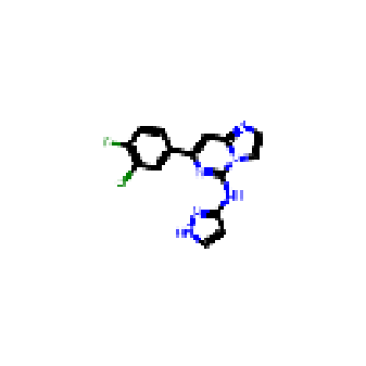 Fc1ccc(-c2cc3nccn3c(Nc3cc[nH]n3)n2)cc1Cl